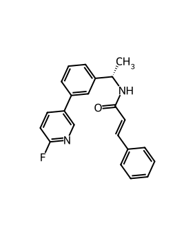 C[C@H](NC(=O)C=Cc1ccccc1)c1cccc(-c2ccc(F)nc2)c1